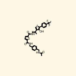 CC(=O)NCc1ccc(CNC(=O)c2ccc(C(=O)N/N=C(\C)c3csc(-c4ccc(C(F)(F)F)cc4)c3O)s2)cc1